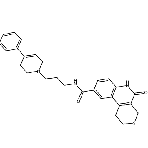 O=C(NCCCN1CC=C(c2ccccc2)CC1)c1ccc2[nH]c(=O)c3c(c2c1)CCSC3